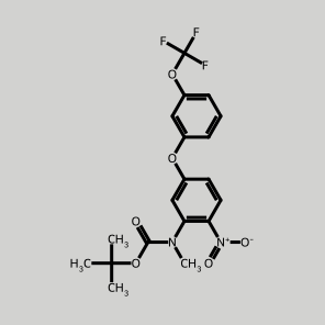 CN(C(=O)OC(C)(C)C)c1cc(Oc2cccc(OC(F)(F)F)c2)ccc1[N+](=O)[O-]